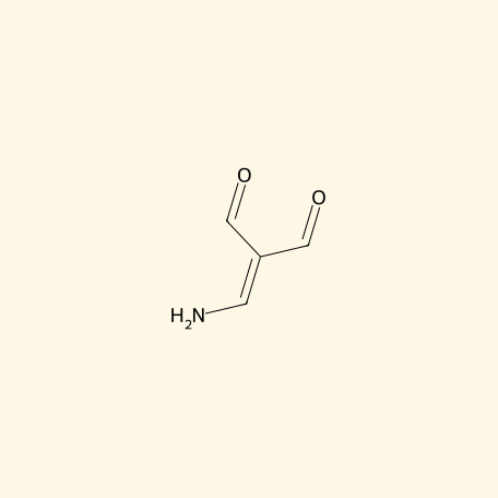 NC=C(C=O)C=O